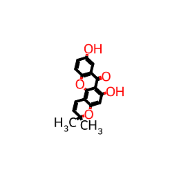 CC1(C)C=Cc2c(cc(O)c3c(=O)c4cc(O)ccc4oc23)O1